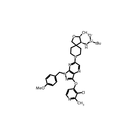 COc1ccc(Cn2nc(Oc3ccnc(C)c3Cl)c3ncc(N4CCC5(CC4)CO[C@@H](C)[C@H]5N[S@@+]([O-])C(C)(C)C)nc32)cc1